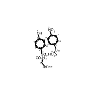 CCCCCCCCCCCC(=O)O.O=[N+]([O-])c1ccc(O)cc1.O=[N+]([O-])c1ccc(OS(=O)(=O)O)cc1